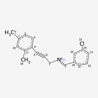 Cc1ccc(C#CC/N=C/c2cccc(Cl)c2)c(C)c1